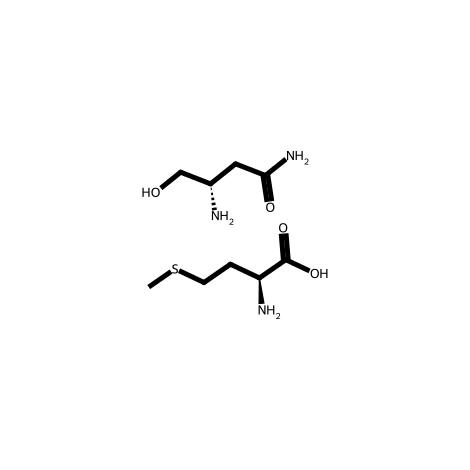 CSCC[C@H](N)C(=O)O.NC(=O)C[C@H](N)CO